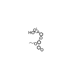 CCCCOc1cc(COc2cccc([C@H](CCC)CC(=O)O)c2)ccc1-c1cccc(OC)c1